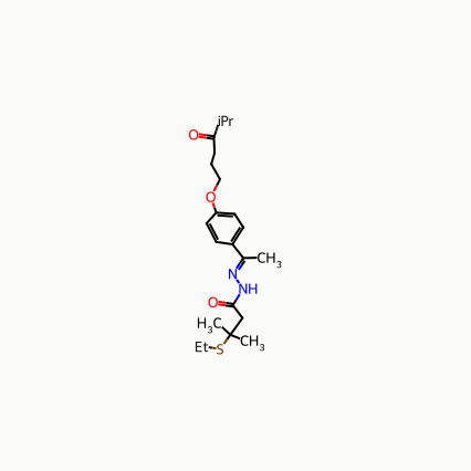 CCSC(C)(C)CC(=O)N/N=C(\C)c1ccc(OCCCC(=O)C(C)C)cc1